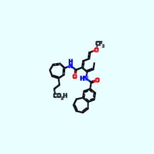 C\C=C(NC(=O)c1ccc2c(c1)CC=CC=C2)/C(=C\C=C\OC(F)(F)F)C(=O)NC1=CC(CCC(=O)O)=CCC=C1